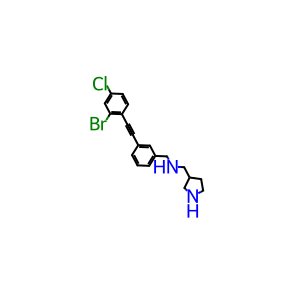 Clc1ccc(C#Cc2cccc(CNCC3CCNC3)c2)c(Br)c1